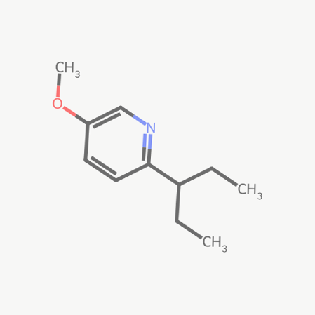 CCC(CC)c1ccc(OC)cn1